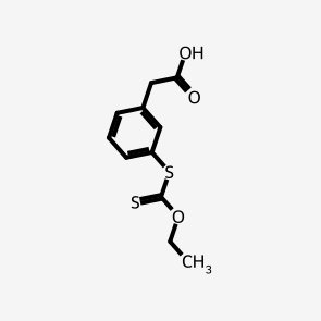 CCOC(=S)Sc1cccc(CC(=O)O)c1